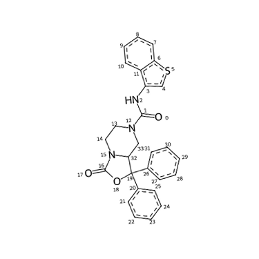 O=C(Nc1csc2ccccc12)N1CCN2C(=O)OC(c3ccccc3)(c3ccccc3)C2C1